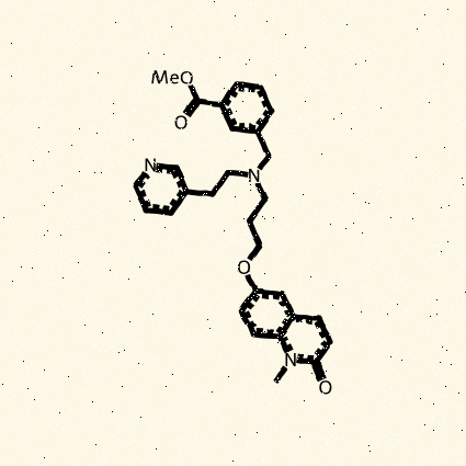 COC(=O)c1cccc(CN(CCCOc2ccc3c(ccc(=O)n3C)c2)CCc2cccnc2)c1